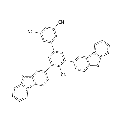 N#Cc1cc(C#N)cc(-c2cc(-c3ccc4c(c3)sc3ccccc34)c(C#N)c(-c3ccc4sc5ccccc5c4c3)c2)c1